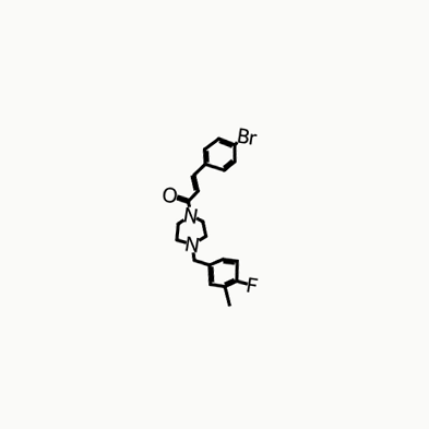 Cc1cc(CN2CCN(C(=O)C=Cc3ccc(Br)cc3)CC2)ccc1F